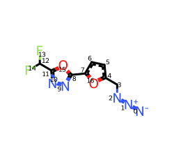 [N-]=[N+]=NCc1ccc(-c2nnc(C(F)F)o2)o1